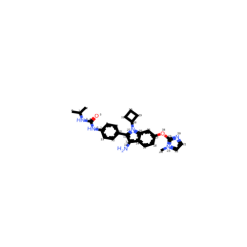 CC(C)NC(=O)Nc1ccc(-c2c(N)c3ccc(Oc4nccn4C)cc3n2C2CCC2)cc1